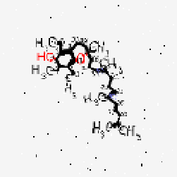 CCc1c(O)c(CC)c2c(c1CC)OC(C)(CC/C=C(\C)CC/C=C(\C)CCCC(C)C)CC2